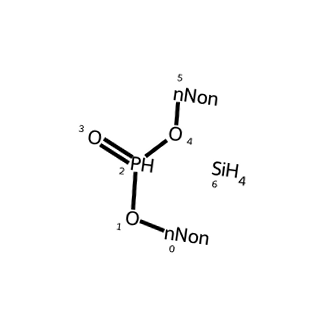 CCCCCCCCCO[PH](=O)OCCCCCCCCC.[SiH4]